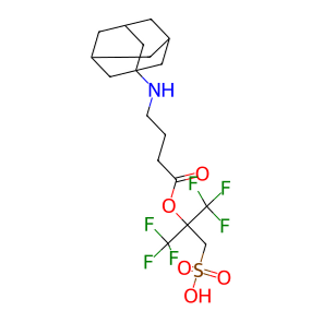 O=C(CCCNC12CC3CC(CC(C3)C1)C2)OC(CS(=O)(=O)O)(C(F)(F)F)C(F)(F)F